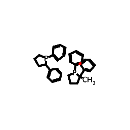 CC1(c2ccccc2)CCCP1c1ccccc1.c1ccc(C2CCCP2c2ccccc2)cc1